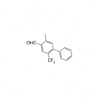 Cc1cc(-c2ccccc2)c(C(F)(F)F)cc1[C]=O